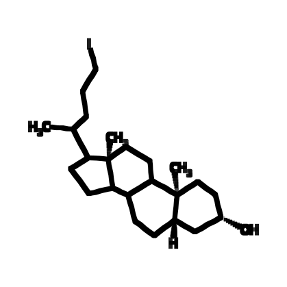 CC(CCCI)C1CCC2C3CC[C@H]4C[C@@H](O)CC[C@]4(C)C3CC[C@]12C